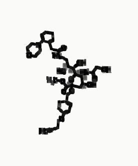 C#CCCOc1ccc(CO[C@]2(C(=O)OC)C[C@H](O)[C@@H](NC(=O)CO)[C@H]([C@H](O)[C@H](O)CNC(=O)Cc3ccccc3N3CCOCC3)O2)cc1